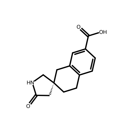 O=C1C[C@]2(CCc3ccc(C(=O)O)cc3C2)CN1